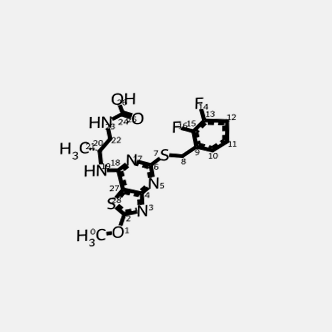 COc1nc2nc(SCc3cccc(F)c3F)nc(N[C@H](C)CNC(=O)O)c2s1